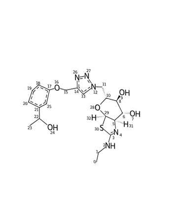 CCNC1=N[C@@H]2[C@@H](O)[C@H](O)[C@@H](Cn3cc(COc4cccc(C(C)O)c4)nn3)O[C@@H]2S1